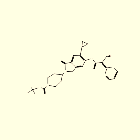 CC(C)(C)OC(=O)N1CCC(N2Cc3cc(NC(=O)/C(C=N)=C4\N=CC=CN4)c(C4CC4)cc3C2=O)CC1